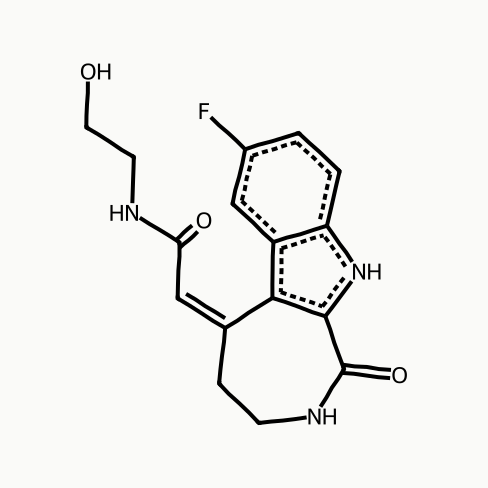 O=C(/C=C1/CCNC(=O)c2[nH]c3ccc(F)cc3c21)NCCO